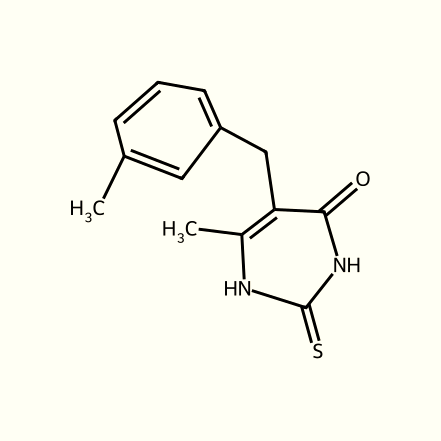 Cc1cccc(Cc2c(C)[nH]c(=S)[nH]c2=O)c1